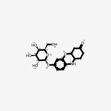 O=C1CCC2Nc3ccc(O[C@@H]4O[C@H](CO)[C@H](O)[C@H](O)[C@H]4O)cc3OC2C1